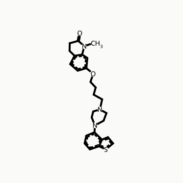 CN1C(=O)CCc2ccc(OCCCCN3CCN(c4cccc5sccc45)CC3)cc21